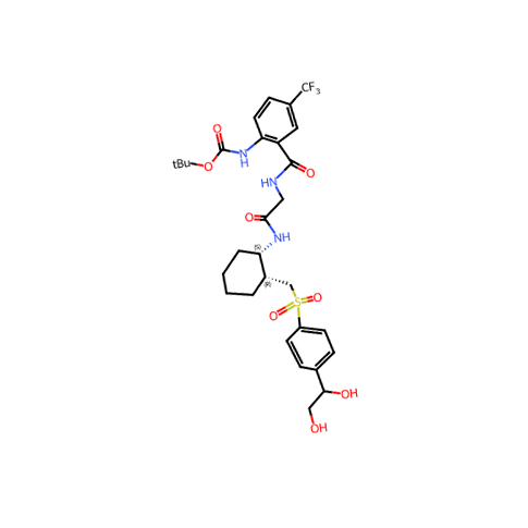 CC(C)(C)OC(=O)Nc1ccc(C(F)(F)F)cc1C(=O)NCC(=O)N[C@H]1CCCC[C@H]1CS(=O)(=O)c1ccc(C(O)CO)cc1